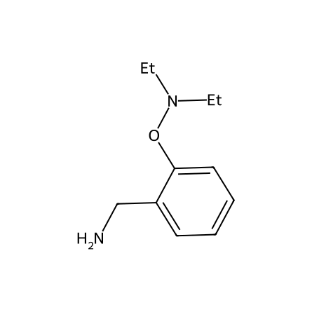 CCN(CC)Oc1ccccc1CN